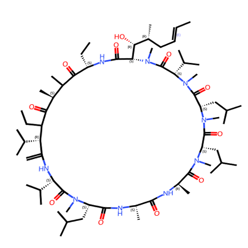 C=C1N[C@@H](C(C)C)C(=O)N(C)[C@@H](CC(C)C)C(=O)N[C@@H](C)C(=O)N[C@H](C)C(=O)N(C)[C@@H](CC(C)C)C(=O)N(C)[C@@H](CC(C)C)C(=O)N(C)[C@@H](C(C)C)C(=O)N(C)[C@@H]([C@H](O)[C@H](C)C/C=C/C)C(=O)N[C@@H](CC)C(=O)C(C)[C@H](C)C(=O)C(CC)[C@H]1C(C)C